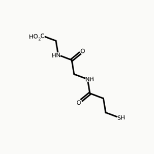 O=C(O)CNC(=O)CNC(=O)CCS